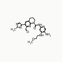 COCCNc1cc(NC(=O)N2CCCc3cc(C4=NC(C)N=C4)c(C=O)nc32)ncc1N